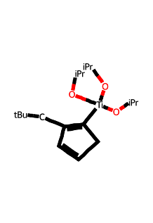 CC(C)[O][Ti]([O]C(C)C)([O]C(C)C)[C]1=C(CC(C)(C)C)C=CC1